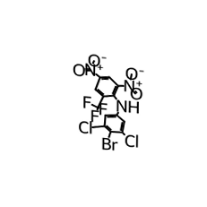 O=[N+]([O-])c1cc([N+](=O)[O-])c(Nc2cc(Cl)c(Br)c(Cl)c2)c(C(F)(F)F)c1